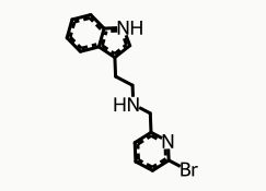 Brc1cccc(CNCCc2c[nH]c3ccccc23)n1